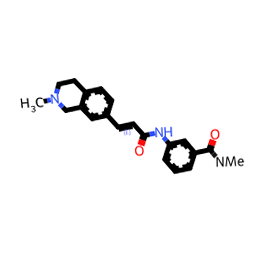 CNC(=O)c1cccc(NC(=O)/C=C/c2ccc3c(c2)CN(C)CC3)c1